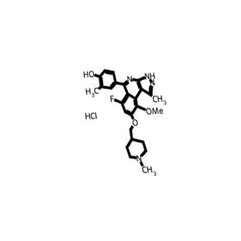 COc1c(OCC2CCN(C)CC2)cc(F)c2c(-c3ccc(O)c(C)c3)nc3[nH]nc(C)c3c12.Cl